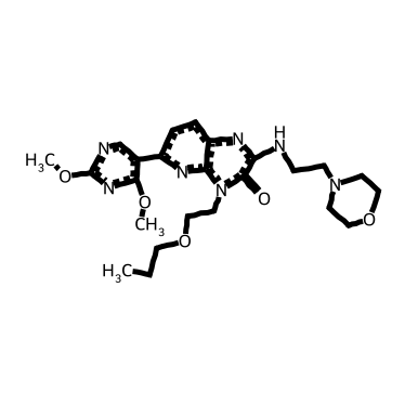 CCCOCCn1c(=O)c(NCCN2CCOCC2)nc2ccc(-c3cnc(OC)nc3OC)nc21